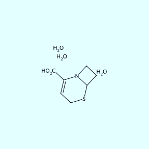 O.O.O.O=C(O)C1=CCSC2CCN12